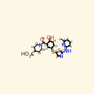 Cc1cccc(Nc2ncc(Sc3ccc(O)c(C(=O)N4CCC(C(=O)O)CC4)c3)s2)n1